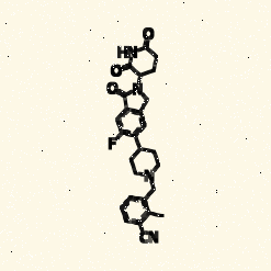 Cc1c(C#N)cccc1CN1CCC(c2cc3c(cc2F)C(=O)N(C2CCC(=O)NC2=O)C3)CC1